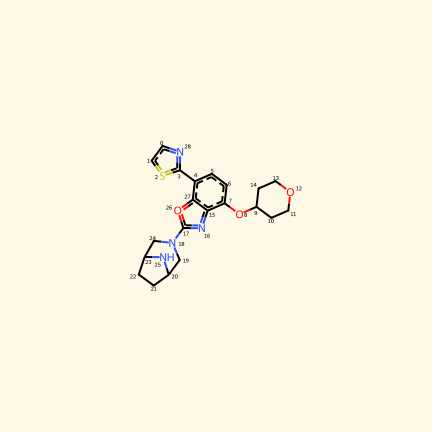 c1csc(-c2ccc(OC3CCOCC3)c3nc(N4CC5CCC(C4)N5)oc23)n1